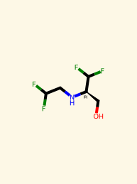 OC[C@@H](NCC(F)F)C(F)F